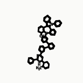 CC1CC=CC2=C1N(c1cccc(-c3ccccc3-c3cccc(C4=CC(C5CCC=CC5C)NC(c5ccccc5)=N4)c3)c1)c1ccccc1-c1c2c2ccccc2n1-c1ccccc1